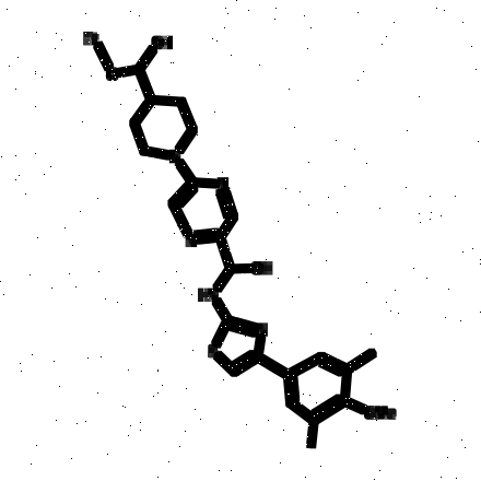 CCOC(O)C1CCN(c2cnc(C(O)Nc3nc(-c4cc(C)c(OC)c(C)c4)cs3)cn2)CC1